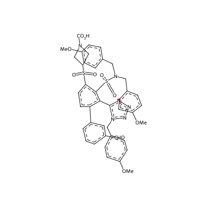 COc1ccc(CN(Cc2ccc(OC)cc2)S(=O)(=O)c2c(S(=O)(=O)C3CN(C(=O)O)C3)ccc(-c3cccc(C=O)c3)c2-c2nnnn2Cc2ccc(OC)cc2)cc1